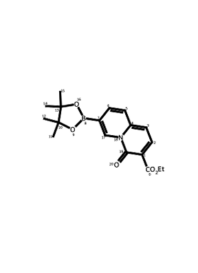 CCOC(=O)c1ccc2ccc(B3OC(C)(C)C(C)(C)O3)cn2c1=O